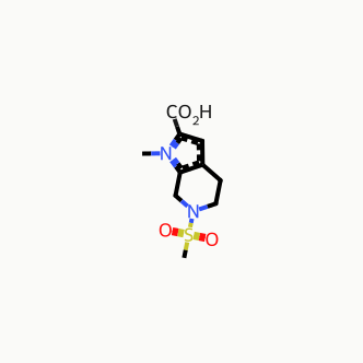 Cn1c(C(=O)O)cc2c1CN(S(C)(=O)=O)CC2